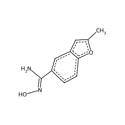 Cc1cc2cc(C(N)=NO)ccc2o1